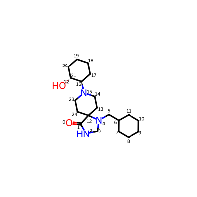 O=C1NCN(CC2CCCCC2)C12CCN([C@@H]1CCCC[C@H]1O)CC2